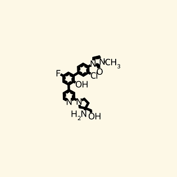 Cn1ccn(-c2ccc(-c3cc(F)cc(-c4ccnc(N5CCC(N)(CO)C5)c4)c3O)cc2Cl)c1=O